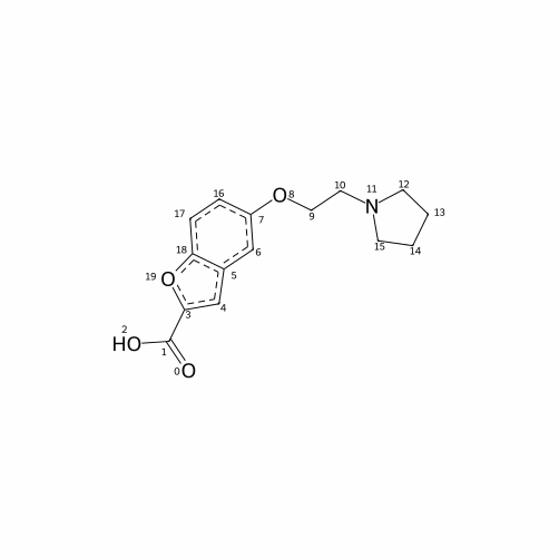 O=C(O)c1cc2cc(OCCN3CCCC3)ccc2o1